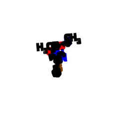 Cc1ccc(OC[C@@H]2CCN2C)cc1C(=O)NC1(c2cc(-c3cc4ccccc4s3)cc3ncccc23)CC1